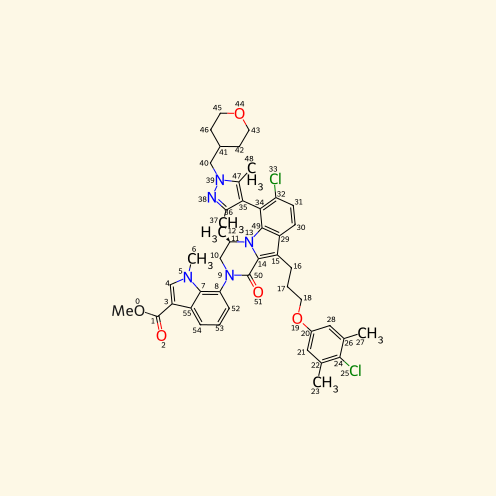 COC(=O)c1cn(C)c2c(N3C[C@@H](C)n4c(c(CCCOc5cc(C)c(Cl)c(C)c5)c5ccc(Cl)c(-c6c(C)nn(CC7CCOCC7)c6C)c54)C3=O)cccc12